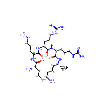 N=C(N)NCCC[C@H](NC(=O)[C@H](CCCNC(=N)N)NC(=O)[C@H](CCCCN)NC(=O)[C@@H](N)CCC(=O)O)C(=O)N[C@@H](CCCCN)C(=O)O